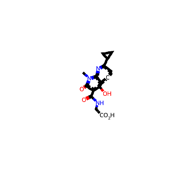 Cn1c(=O)c(C(=O)NCC(=O)O)c(O)c2ccc(C3CC3)nc21